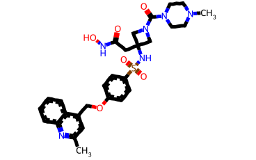 Cc1cc(COc2ccc(S(=O)(=O)NC3(CC(=O)NO)CN(C(=O)N4CCN(C)CC4)C3)cc2)c2ccccc2n1